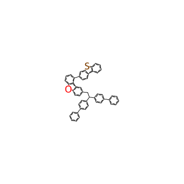 c1ccc(-c2ccc(C(Cc3ccc4oc5cccc(-c6ccc7c(c6)sc6ccccc67)c5c4c3)c3ccc(-c4ccccc4)cc3)cc2)cc1